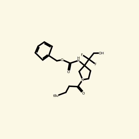 CC(C)(C)CCC(=O)N1CCC(NC(=O)OCc2ccccc2)(C(F)(F)CO)C1